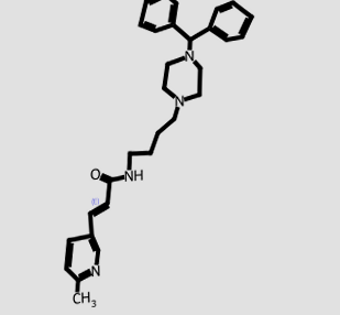 Cc1ccc(/C=C/C(=O)NCCCCN2CCN(C(c3ccccc3)c3ccccc3)CC2)cn1